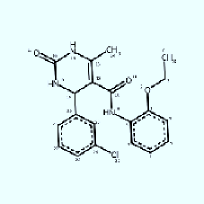 CCOc1ccccc1NC(=O)C1=C(C)NC(=O)NC1c1cccc(Cl)c1